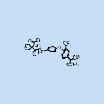 CCC(=O)NC1(C(=O)NCc2ccc(Oc3ccc(C(C)O)cc3C(F)(F)F)cc2)CCOC1